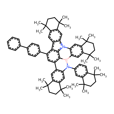 CC1(C)CCC(C)(C)c2cc(N3B4c5cc6c(cc5-n5c7cc8c(cc7c7c(-c9ccc(-c%10ccccc%10)cc9)cc(c4c75)-c4cc5c(cc43)C(C)(C)CCC5(C)C)C(C)(C)CCC8(C)C)C(C)(C)CCC6(C)C)ccc21